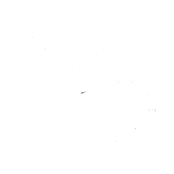 CCn1nc(C[C@@H](C)COC(=O)c2cccc(C(=O)N(C)C)c2)c2c1C(=O)NCC1(CCOCC1)C2